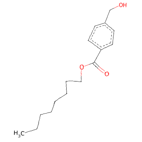 CCCCCCCCOC(=O)c1ccc(CO)cc1